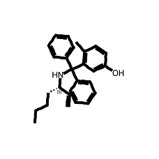 C=C[C@H](CCCC)NC(c1ccccc1)(c1ccccc1)c1cc(O)ccc1C